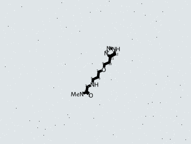 CNC(=O)CNCCCOCCc1c[nH]nn1